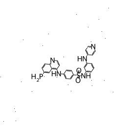 O=S(=O)(Nc1cccc(Nc2ccncc2)c1)c1ccc(Nc2ccnc3ccc(P)cc23)cc1